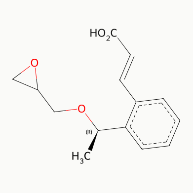 C[C@@H](OCC1CO1)c1ccccc1C=CC(=O)O